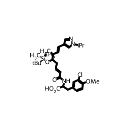 COc1ccc(CC(NC(=O)/C=C/CC(O[Si](C)(C)C(C)(C)C)C(C)/C=C/c2cnn(C(C)C)c2)C(=O)O)cc1Cl